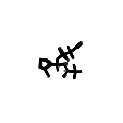 CC(C)(C)[S@@+]([O-])N[C@@](C)(CS(=O)(=O)C(C)(C)C#N)c1sccc1F